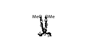 COCCOCCOCCOCc1c(-c2ccc(C)s2)sc(-c2ccc(C)s2)c1COCCOCCOCCOC